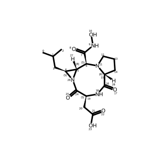 CC(C)C[C@H]1[C@@H]2[C@@H](C(=O)NO)N3CCC[C@@H]3C(=O)N[C@@H](CC(=O)O)C(=O)N21